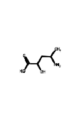 CC(N)CC(O)C(=O)O